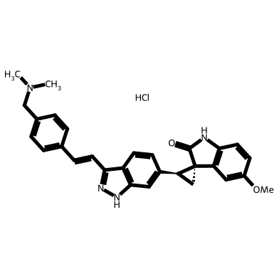 COc1ccc2c(c1)[C@]1(C[C@H]1c1ccc3c(C=Cc4ccc(CN(C)C)cc4)n[nH]c3c1)C(=O)N2.Cl